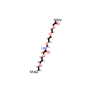 CNC(=O)COCCOCCCOCNC(=O)COCCCOCCOC